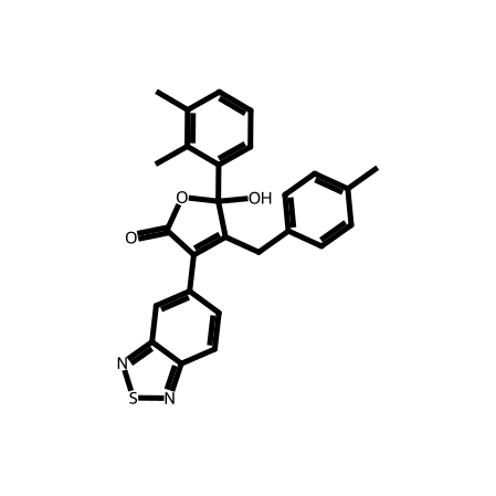 Cc1ccc(CC2=C(c3ccc4nsnc4c3)C(=O)OC2(O)c2cccc(C)c2C)cc1